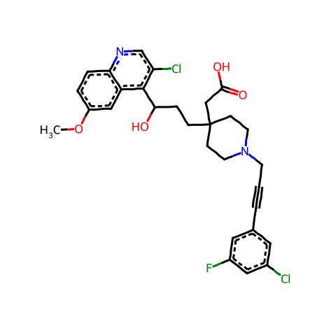 COc1ccc2ncc(Cl)c(C(O)CCC3(CC(=O)O)CCN(CC#Cc4cc(F)cc(Cl)c4)CC3)c2c1